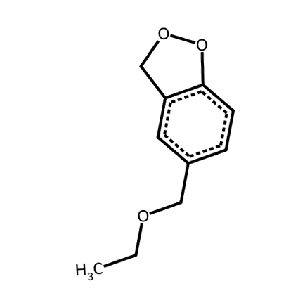 CCOCc1ccc2c(c1)COO2